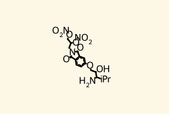 CC(C)C(N)C(O)COc1ccc2c(c1)C(=O)N(CC(CO[N+](=O)[O-])O[N+](=O)[O-])C2=O